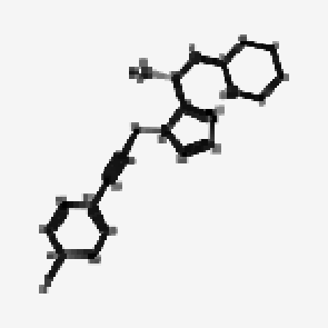 C[C@H](OC1CCCCO1)c1nccn1CC#Cc1ccc(I)cc1